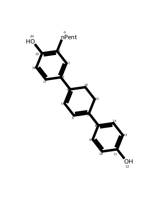 CCCCCc1cc(C2=CC=C(c3ccc(O)cc3)CC2)ccc1O